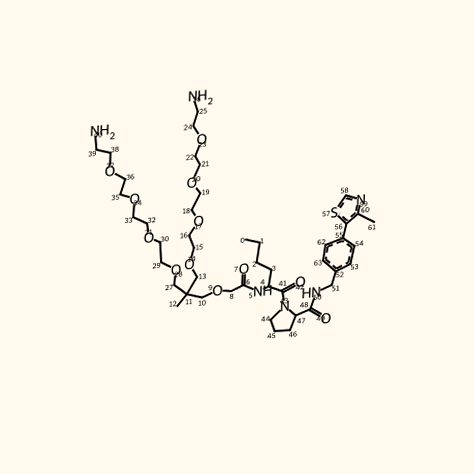 CCCCC(NC(=O)COCC(C)(COCCOCCOCCOCCN)COCCOCCOCCOCCN)C(=O)N1CCCC1C(=O)NCc1ccc(-c2scnc2C)cc1